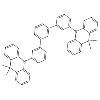 CC1(C)c2ccccc2N(c2cccc(-c3cccc(-c4cccc(N5c6ccccc6C(C)(C)c6ccccc65)c4)c3)c2)c2ccccc21